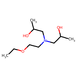 CCOCCN(CC(C)O)CC(C)O